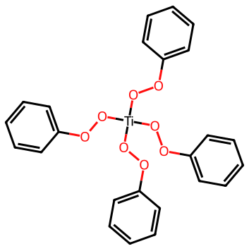 c1ccc(O[O][Ti]([O]Oc2ccccc2)([O]Oc2ccccc2)[O]Oc2ccccc2)cc1